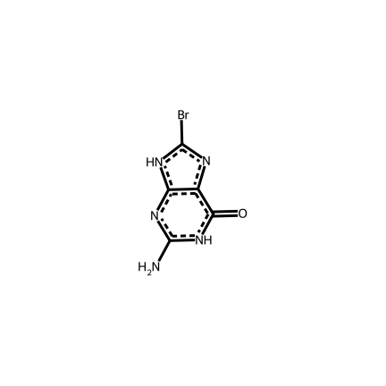 Nc1nc2[nH]c(Br)nc2c(=O)[nH]1